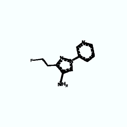 Nc1cn(-c2cccnc2)nc1CCF